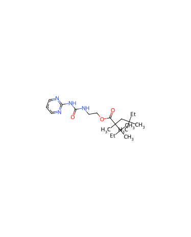 CCC(C)(C)CC(C)(C(=O)OCCNC(=O)Nc1ncccn1)C(C)(C)CC